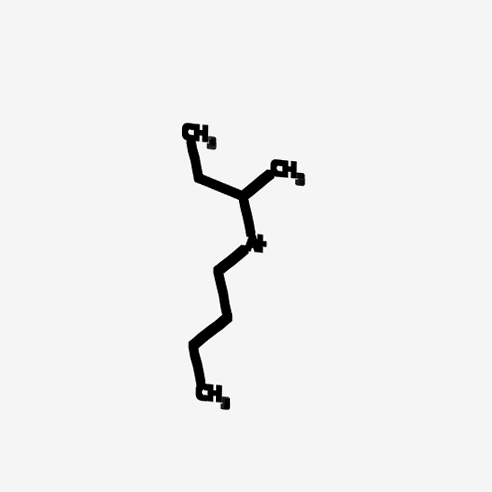 CCC[CH2][Al][CH](C)CC